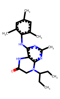 CCC(CC)N1CC(=O)Nc2c(Nc3c(C)cc(C)cc3C)nc(C)nc21